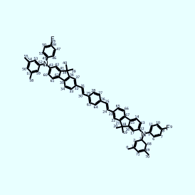 CC1=CC(N(c2ccc(F)cc2)c2ccc3c(c2)C(C)(C)c2cc(/C=C/c4ccc(/C=C/c5ccc6c(c5)C(C)(C)c5cc(N(c7ccc(F)cc7)c7cc(C)cc(C)c7)ccc5-6)cc4)ccc2-3)CC(C)=C1